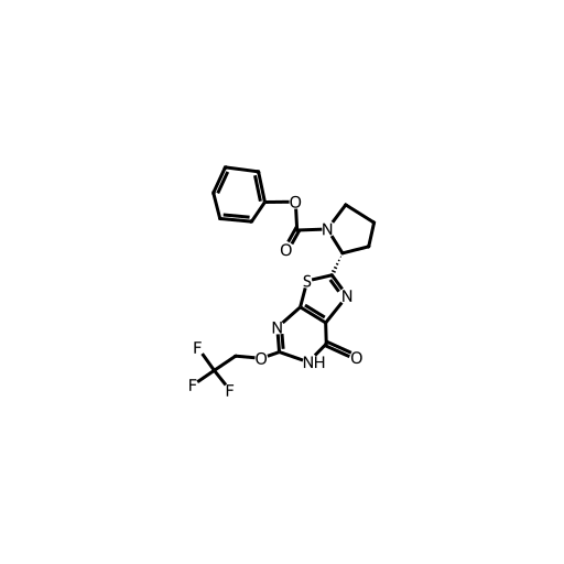 O=C(Oc1ccccc1)N1CCC[C@@H]1c1nc2c(=O)[nH]c(OCC(F)(F)F)nc2s1